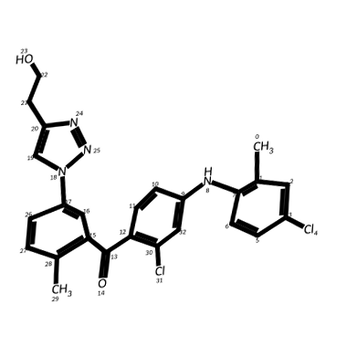 Cc1cc(Cl)ccc1Nc1ccc(C(=O)c2cc(-n3cc(CCO)nn3)ccc2C)c(Cl)c1